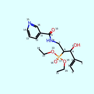 CC=C(C)C(O)C(CNC(=O)c1cccnc1)P(=O)(OCC)OCC